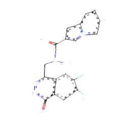 C[C@@H](c1n[nH]c(=O)c2cc(F)c(F)cc12)N(C)C(=O)c1cc2ccccn2c1